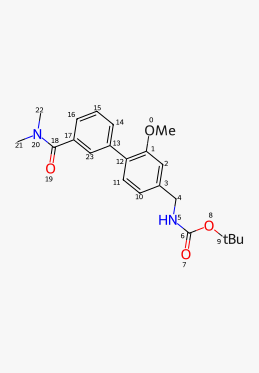 COc1cc(CNC(=O)OC(C)(C)C)ccc1-c1cccc(C(=O)N(C)C)c1